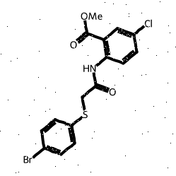 COC(=O)c1cc(Cl)ccc1NC(=O)CSc1ccc(Br)cc1